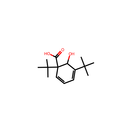 CC(C)(C)C1=CC=CC(C(=O)O)(C(C)(C)C)C1O